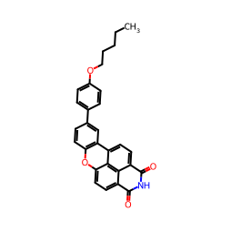 CCCCCOc1ccc(-c2ccc3oc4ccc5c(=O)[nH]c(=O)c6ccc(c3c2)c4c56)cc1